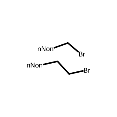 CCCCCCCCCCBr.CCCCCCCCCCCBr